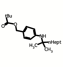 CCCCCCCC(C)(C)Nc1ccc(COC(=O)C(C)(C)C)cc1